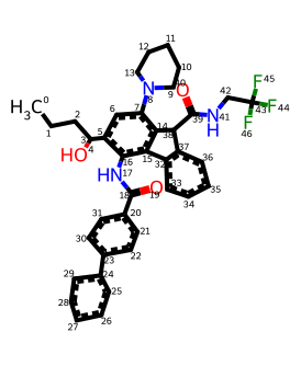 CCCC(O)c1cc(N2CCCCC2)c2c(c1NC(=O)c1ccc(-c3ccccc3)cc1)-c1ccccc1C2C(=O)NCC(F)(F)F